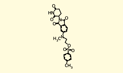 Cc1ccc(S(=O)(=O)OCCN(C)c2ccc3c(c2)C(=O)N(C2CCC(=O)NC2=O)C3=O)cc1